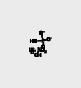 O=P([O-])([O-])O.O=[N+]([O-])O.[Li+].[Li+]